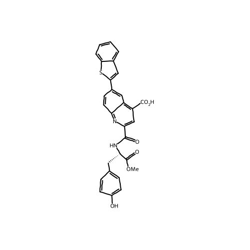 COC(=O)[C@H](Cc1ccc(O)cc1)NC(=O)c1cc(C(=O)O)c2cc(-c3cc4ccccc4s3)ccc2n1